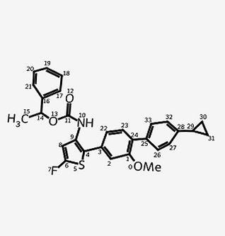 COc1cc(-c2sc(F)cc2NC(=O)OC(C)c2ccccc2)ccc1-c1ccc(C2CC2)cc1